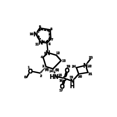 COC[C@@H]1CN(c2cccnn2)CC[C@@H]1NS(=O)(=O)NC1CN(C)C1